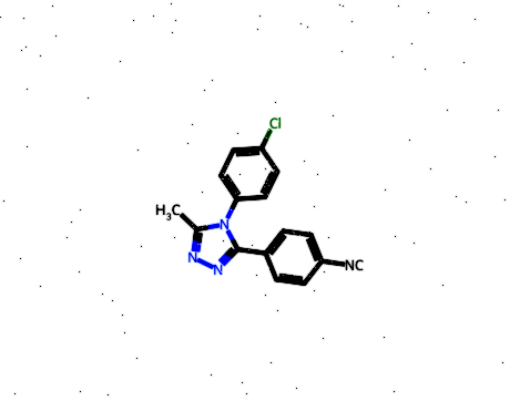 [C-]#[N+]c1ccc(-c2nnc(C)n2-c2ccc(Cl)cc2)cc1